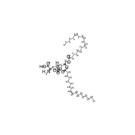 CCCCC/C=C\C/C=C\C/C=C\CCCCCCC(=O)OC[C@H](COP(=O)(O)OC[C@H](N)C(=O)O)OC(=O)CCCCCCC/C=C\CCCCCCCC